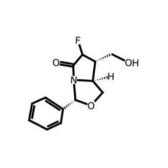 O=C1C(F)[C@H](CO)[C@H]2CO[C@H](c3ccccc3)N12